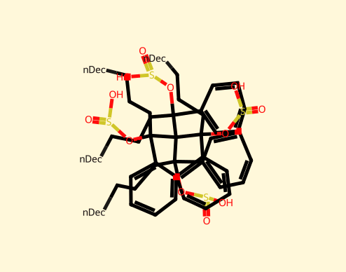 CCCCCCCCCCCCCC(OS(=O)O)(c1ccccc1)C(C(CCCCCCCCCCCCC)(OS(=O)O)c1ccccc1)(C(CCCCCCCCCCCCC)(OS(=O)O)c1ccccc1)C(CCCCCCCCCCCCC)(OS(=O)O)c1ccccc1